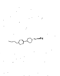 CCCCC1CCC(C2CCC(C=CC#N)CC2)CC1